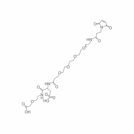 O=C(O)COCCNC(=O)C(CS(=O)(=O)O)NC(=O)CCOCCOCCOCCOCCNC(=O)CCN1C(=O)C=CC1=O